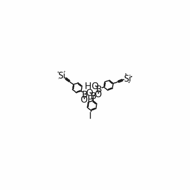 C[Si](C)(C)C#Cc1ccc(B(O)OB(OB(O)c2ccc(C#C[Si](C)(C)C)cc2)c2ccc(I)cc2)cc1